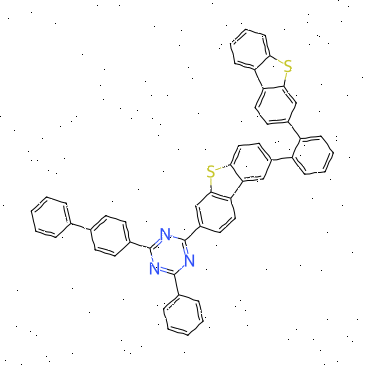 c1ccc(-c2ccc(-c3nc(-c4ccccc4)nc(-c4ccc5c(c4)sc4ccc(-c6ccccc6-c6ccc7c(c6)sc6ccccc67)cc45)n3)cc2)cc1